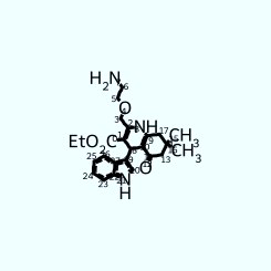 CCOC(=O)C1=C(COCCN)NC2=C(C(=O)CC(C)(C)C2)C1c1c[nH]c2ccccc12